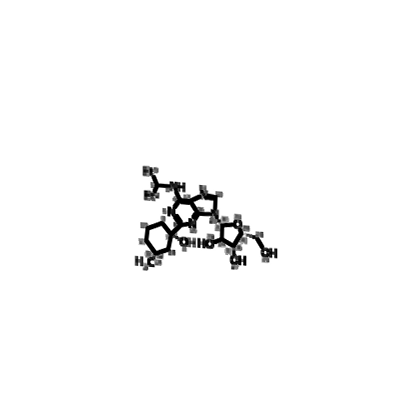 CCC(CC)Nc1nc([C@]2(O)CCC[C@@H](C)C2)nc2c1ncn2[C@@H]1O[C@H](CO)[C@H](O)C1O